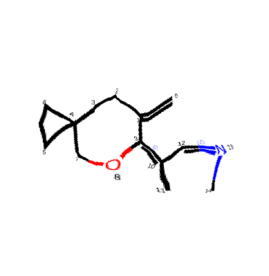 C=C1CCC2(CC2)CO/C1=C(C)/C=N\C